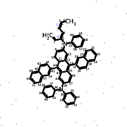 C=C/C(=C\C=C/C)N(C1=CCC2C(=C1)C(c1ccc3ccccc3c1)=c1ccc(N(c3ccccc3)C3C=CC=CC3)cc1=C2c1ccc2ccccc2c1)c1ccccc1